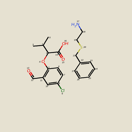 CC(C)C(Oc1ccc(Cl)cc1C=O)C(=O)O.NCCSCc1ccccc1